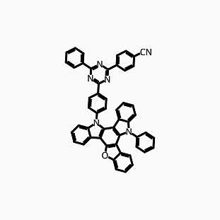 N#Cc1ccc(-c2nc(-c3ccccc3)nc(-c3ccc(-n4c5ccccc5c5c6oc7ccccc7c6c6c(c7ccccc7n6-c6ccccc6)c54)cc3)n2)cc1